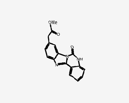 COC(=O)Cc1ccc2nc3c4ccccc4[nH]c(=O)n3c2c1